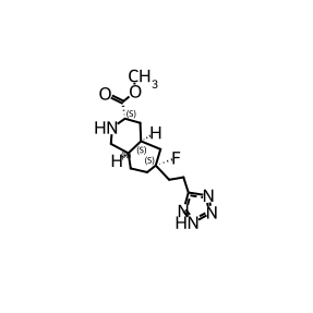 COC(=O)[C@@H]1C[C@H]2C[C@@](F)(CCc3nn[nH]n3)CC[C@H]2CN1